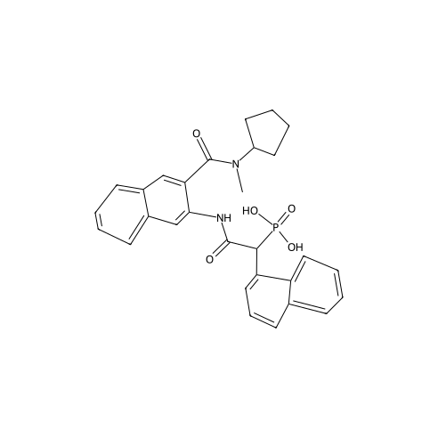 CN(C(=O)c1cc2ccccc2cc1NC(=O)C(c1cccc2ccccc12)P(=O)(O)O)C1CCCC1